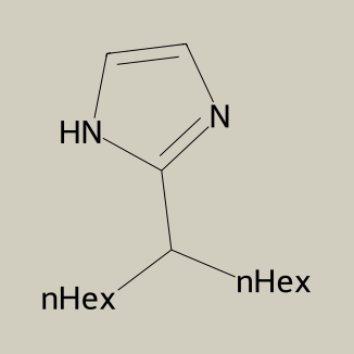 CCCCCCC(CCCCCC)c1ncc[nH]1